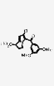 COc1cc(OC)cc(C(=O)c2c(Cl)cc3n2CCC3C(=O)O)c1